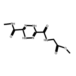 CNC(=O)C1=NNC(C(=O)NCC(=O)OC)=NN1